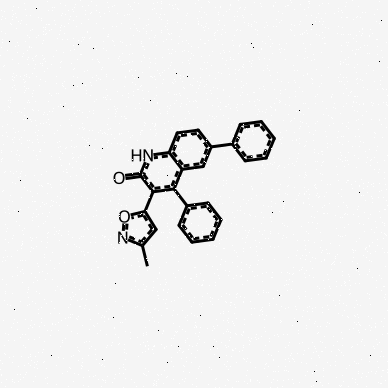 Cc1cc(-c2c(-c3ccccc3)c3cc(-c4ccccc4)ccc3[nH]c2=O)on1